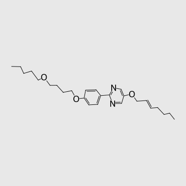 CCCCC=CCOc1cnc(-c2ccc(OCCCCOCCCCC)cc2)nc1